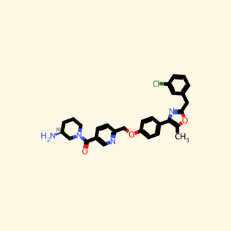 Cc1oc(Cc2cccc(Cl)c2)nc1-c1ccc(OCc2ccc(C(=O)N3CCC[C@H](N)C3)cn2)cc1